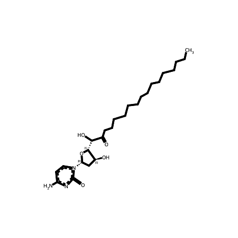 CCCCCCCCCCCCCCCC(=O)C(O)[C@H]1O[C@@H](n2ccc(N)nc2=O)C[C@@H]1O